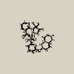 CC1CCN(c2ncccc2C(=O)NS(=O)(=O)c2cccc(OC3CCC4CCCCC4C3)n2)C1(C)C